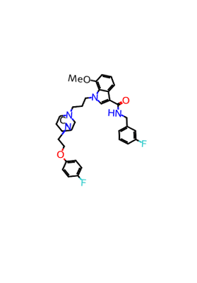 COc1cccc2c(C(=O)NCc3cccc(F)c3)cn(CCCN3CC4CCC3CN4CCOc3ccc(F)cc3)c12